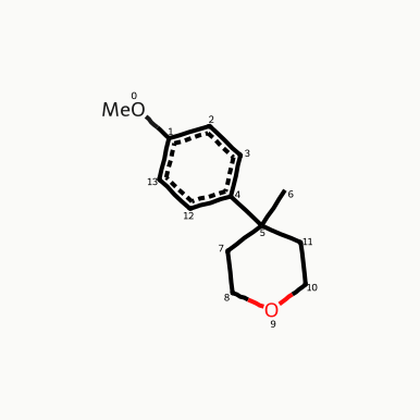 COc1ccc(C2(C)CCOCC2)cc1